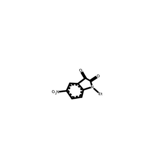 CCN1C(=O)C(=O)c2cc([N+](=O)[O-])ccc21